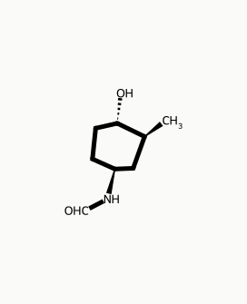 C[C@H]1C[C@@H](NC=O)CC[C@@H]1O